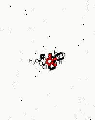 CC[C@@H]1C[C@@H]2C[C@H](C1)C[C@@H](N1[C@@H]3COC[C@H]1C[C@@H](n1c(=O)c(N4CC[C@H]4C(C)=O)nc4ccccc41)C3)C2